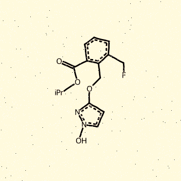 CC(C)OC(=O)c1cccc(CF)c1COc1ccn(O)n1